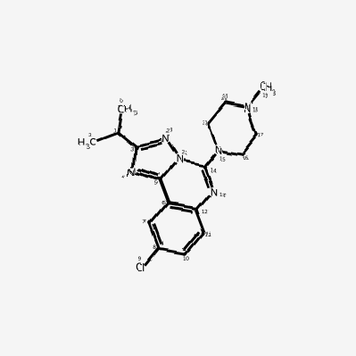 CC(C)c1nc2c3cc(Cl)ccc3nc(N3CCN(C)CC3)n2n1